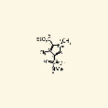 CCOC(=O)c1c(Cl)c(S(=O)(=O)NC)cn1C